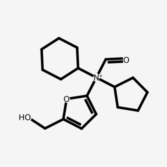 O=C[N+](c1ccc(CO)o1)(C1CCCCC1)C1CCCC1